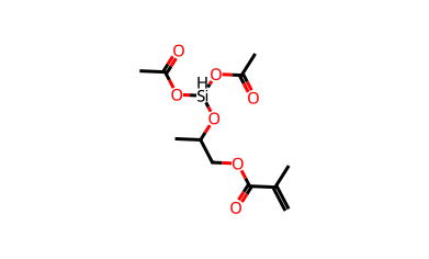 C=C(C)C(=O)OCC(C)O[SiH](OC(C)=O)OC(C)=O